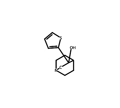 OC1(c2cccs2)CN2CCC1CC2